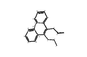 CCCc1c(CCC)c2ccccc2c2ccccc12